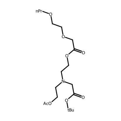 CCCOCCOCC(=O)OCCN(CCOC(C)=O)CC(=O)OC(C)(C)C